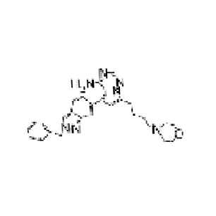 Nc1ncnn2c(CCCCN3CCOCC3)cc(-c3ccc4cn(Cc5ccccc5)nc4c3)c12